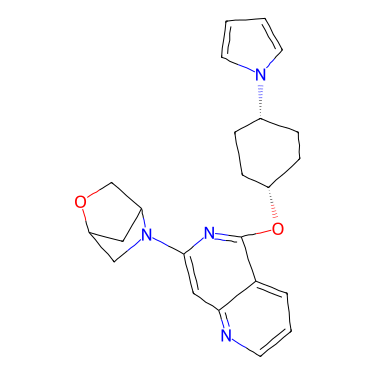 c1cnc2cc(N3CC4CC3CO4)nc(O[C@H]3CC[C@@H](n4cccc4)CC3)c2c1